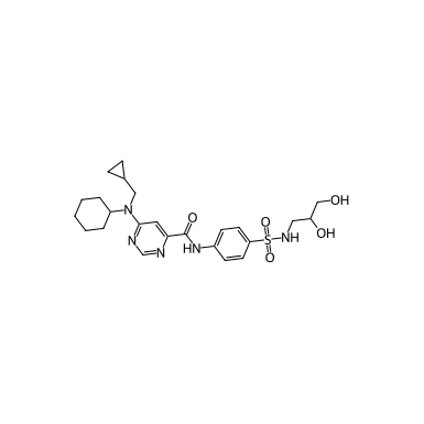 O=C(Nc1ccc(S(=O)(=O)NCC(O)CO)cc1)c1cc(N(CC2CC2)C2CCCCC2)ncn1